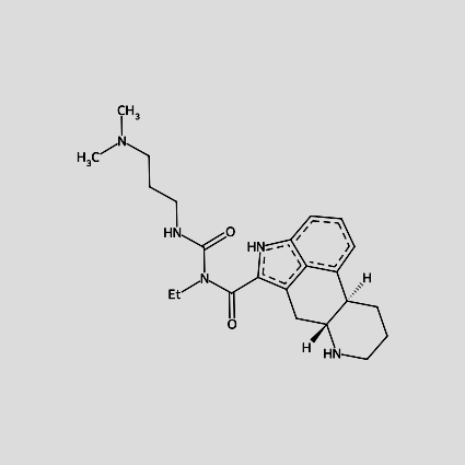 CCN(C(=O)NCCCN(C)C)C(=O)c1[nH]c2cccc3c2c1C[C@H]1NCCC[C@H]31